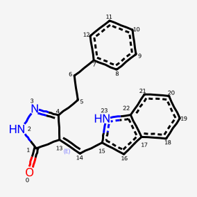 O=C1NN=C(CCc2ccccc2)/C1=C\c1cc2ccccc2[nH]1